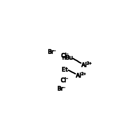 CCC[CH2][Al+2].C[CH2][Al+2].[Br-].[Br-].[Cl-].[Cl-]